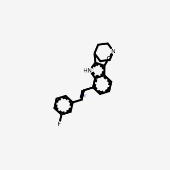 Fc1cccc(/C=C/c2cccc3c4c([nH]c23)C2CCN(CC2)C4)c1